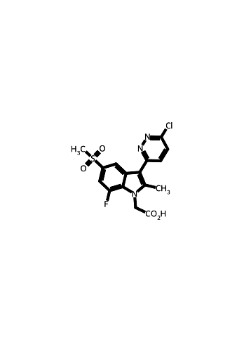 Cc1c(-c2ccc(Cl)nn2)c2cc(S(C)(=O)=O)cc(F)c2n1CC(=O)O